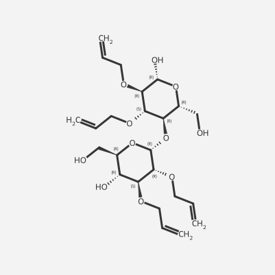 C=CCO[C@@H]1[C@@H](OCC=C)[C@H](O)O[C@H](CO)[C@H]1O[C@H]1O[C@H](CO)[C@@H](O)[C@H](OCC=C)[C@H]1OCC=C